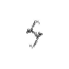 C=Cc1ccc(COCCc2ccc(N(c3ccc(CCc4ccc(N(c5ccc(CCOCc6ccc(C=C)cc6)cc5)c5ccc6c7ccccc7n(C)c6c5)cc4)cc3)c3ccc4c5ccccc5n(C)c4c3)cc2)cc1